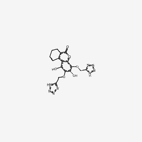 O=c1oc2c(OCc3nnn[nH]3)c(O)c(OCc3nnn[nH]3)c(O)c2c2c1CCCC2